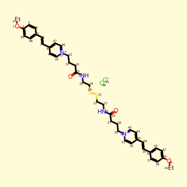 CCOc1ccc(C=Cc2cc[n+](CCCC(=O)NCCSSCCNC(=O)CCC[n+]3ccc(C=Cc4ccc(OCC)cc4)cc3)cc2)cc1.[Cl-].[Cl-]